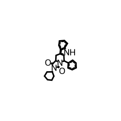 O=C1C2Cc3c([nH]c4ccccc34)C(c3ccccc3)N2C(=O)N1C1CCCCC1